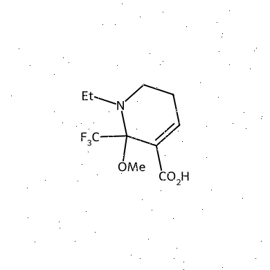 CCN1CCC=C(C(=O)O)C1(OC)C(F)(F)F